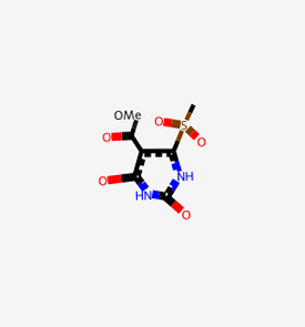 COC(=O)c1c(S(C)(=O)=O)[nH]c(=O)[nH]c1=O